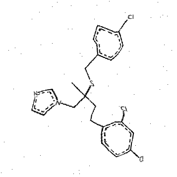 CC(CCc1ccc(Cl)cc1Cl)(Cn1ccnc1)SCc1ccc(Cl)cc1